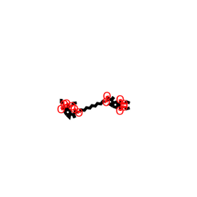 C=C(C(=O)OCCCCCCCCCOC(=O)C(=C)C12CC1CC(C(=O)OCC)(C(=O)OCC)C2)C12CC1CC(C(=O)OCC)(C(=O)OCC)C2